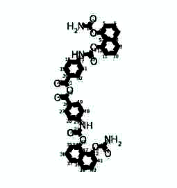 NC(=O)Oc1cccc2cccc(OC(=O)Nc3ccc(C(=O)OC(=O)c4ccc(NC(=O)Oc5cccc6cccc(OC(N)=O)c56)cc4)cc3)c12